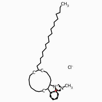 CCCCCCCCCCCCCCCCCCC1CCCCCCCCC(c2ccccc2)C([n+]2ccn(C)c2)CCCC1.[Cl-]